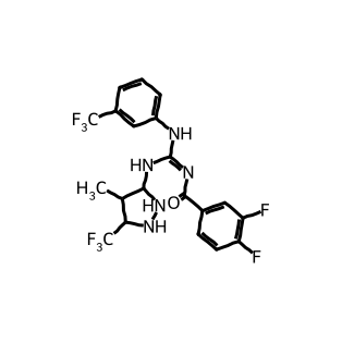 CC1C(N/C(=N\C(=O)c2ccc(F)c(F)c2)Nc2cccc(C(F)(F)F)c2)NNC1C(F)(F)F